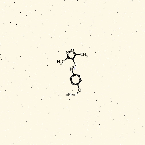 CCCCCOc1ccc(/N=N/c2c(C)noc2C)cc1